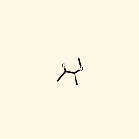 CO[C@@H](C)C(C)[O]